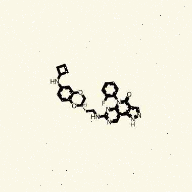 O=c1c2cn[nH]c2c2cnc(NCC[C@H]3COc4cc(NC5CCC5)ccc4O3)nc2n1-c1ccccc1F